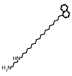 NCCCNCCCCCCCCCCCCCCCCCCc1cccc2ccccc12